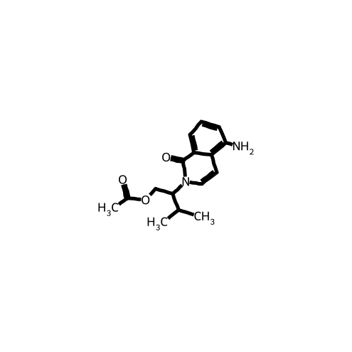 CC(=O)OCC(C(C)C)n1ccc2c(N)cccc2c1=O